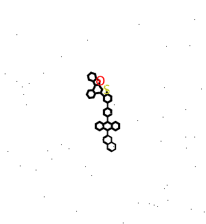 C1=CC2=CC=C(c3c4ccccc4c(-c4ccc(-c5ccc6sc7c8oc9ccccc9c8c8ccccc8c7c6c5)cc4)c4ccccc34)CC2CC1